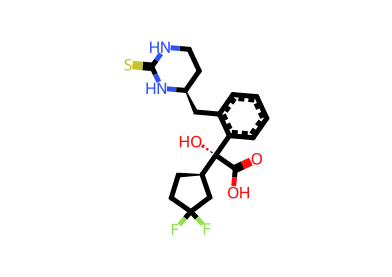 O=C(O)[C@](O)(c1ccccc1C[C@@H]1CCNC(=S)N1)[C@@H]1CCC(F)(F)C1